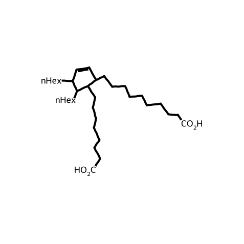 CCCCCCC1C=CC(CCCCCCCCCC(=O)O)C(CCCCCCCC(=O)O)C1CCCCCC